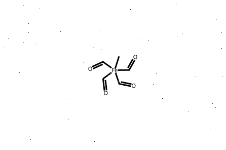 [CH3][Fe]([CH]=O)([CH]=O)([CH]=O)[CH]=O